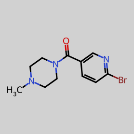 CN1CCN(C(=O)c2ccc(Br)nc2)CC1